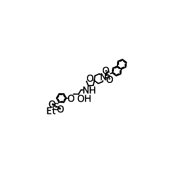 CCS(=O)(=O)c1cccc(OC[C@@H](O)CN[C@H]2COC3(CCN(S(=O)(=O)c4ccc5ccccc5c4)CC3)C2)c1